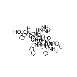 C[C@H](NC(=O)[C@H](CCCNC(=N)N)NC(=O)[C@H](Cc1ccc2ccccc2c1)NC(=O)[C@@H]1CCCCN1C(=O)[C@H](NC(=O)[C@H](Cc1ccc(Cl)cc1)NC(=O)[C@H](N)Cc1ccccc1)[C@H](C)O)C(=O)N[C@H](Cc1ccccc1)C(=O)O